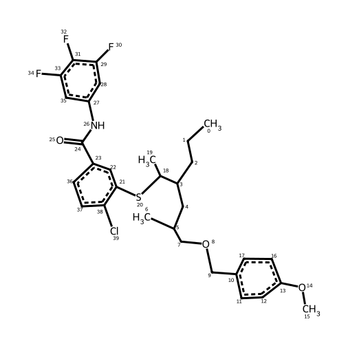 CCCC(CC(C)COCc1ccc(OC)cc1)C(C)Sc1cc(C(=O)Nc2cc(F)c(F)c(F)c2)ccc1Cl